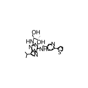 CC(C)c1cnn2c(NCc3ccc(-c4cccs4)nc3)nc(N[C@@H](CO)[C@H](C)O)nc12